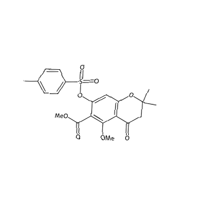 COC(=O)c1c(OS(=O)(=O)c2ccc(C)cc2)cc2c(c1OC)C(=O)CC(C)(C)O2